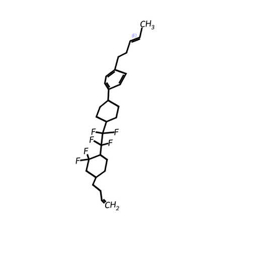 C=CCCC1CCC(C(F)(F)C(F)(F)C2CCC(c3ccc(CC/C=C/C)cc3)CC2)C(F)(F)C1